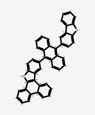 c1ccc2c(c1)sc1ccc(-c3c4ccccc4c(-c4ccc5oc6c7ccccc7c7ccccc7c6c5c4)c4ccccc34)cc12